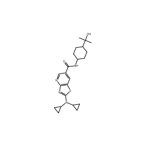 CC(C)(O)C1CCC(NC(=O)c2cnc3nc(N(C4CC4)C4CC4)sc3c2)CC1